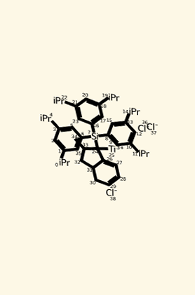 CC(C)c1cc(C(C)C)cc([Si](c2cc(C(C)C)cc(C(C)C)c2)(c2cc(C(C)C)cc(C(C)C)c2)[C]2([Ti+3])C3=CC=CCC3CC2C)c1.[Cl-].[Cl-].[Cl-]